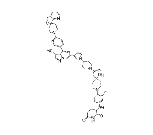 N#Cc1cnn2cc(-c3cnn(C4CCN(C(=O)CC5(O)CCN(c6ccc(NC7CCC(=O)NC7=O)cc6F)CC5)CC4)c3)nc(-c3ccc(N4CCC5(CC4)OCc4cccnc45)nc3)c12